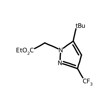 CCOC(=O)Cn1nc(C(F)(F)F)cc1C(C)(C)C